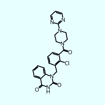 O=C(c1cccc(Cn2c(=O)[nH]c(=O)c3ccccc32)c1Cl)N1CCN(c2ncccn2)CC1